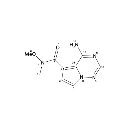 CON(C)C(=O)c1ccn2ncnc(N)c12